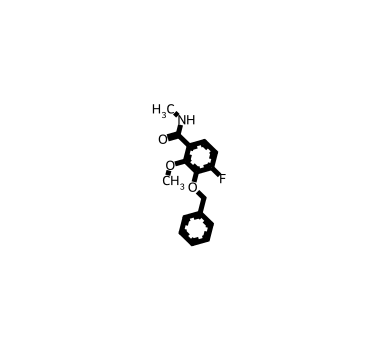 CNC(=O)c1ccc(F)c(OCc2ccccc2)c1OC